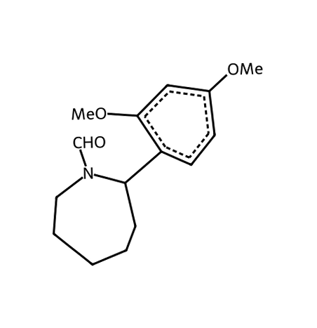 COc1ccc(C2CCCCCN2C=O)c(OC)c1